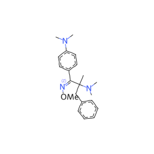 CO/N=C(/c1ccc(N(C)C)cc1)C(C)(Cc1ccccc1)N(C)C